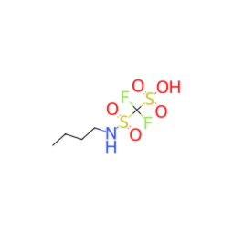 CCCCNS(=O)(=O)C(F)(F)S(=O)(=O)O